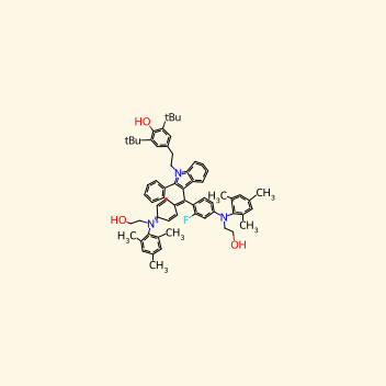 Cc1cc(C)c(N(CCO)c2ccc(C(=C3C=CC(=[N+](CCO)c4c(C)cc(C)cc4C)C=C3)c3c(-c4ccccc4)n(CCc4cc(C(C)(C)C)c(O)c(C(C)(C)C)c4)c4ccccc34)c(F)c2)c(C)c1